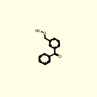 N#COCc1cccc(C(=O)c2ccccc2)c1